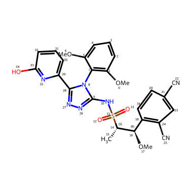 COc1cccc(OC)c1-n1c(NS(=O)(=O)[C@@H](C)[C@H](OC)c2ccc(C#N)cc2C#N)nnc1-c1cccc(O)n1